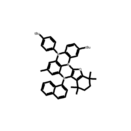 Cc1cc2c3c(c1)N(c1cccc4ccccc14)c1c(oc4c1C(C)(C)CCC4(C)C)B3c1cc(C(C)(C)C)ccc1N2c1ccc(C(C)(C)C)cc1